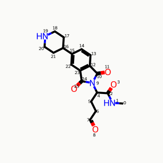 CNC(=O)C(CCC=O)N1C(=O)c2ccc(C3CCNCC3)cc2C1=O